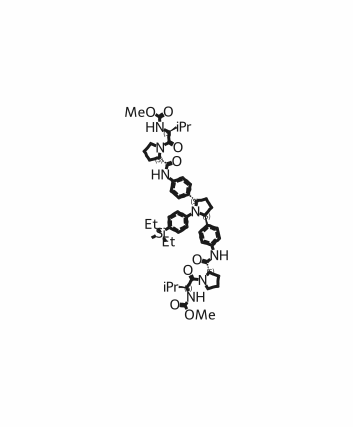 CC[Si](C)(CC)c1ccc(N2[C@H](c3ccc(NC(=O)[C@@H]4CCCN4C(=O)[C@@H](NC(=O)OC)C(C)C)cc3)CC[C@H]2c2ccc(NC(=O)[C@@H]3CCCN3C(=O)[C@@H](NC(=O)OC)C(C)C)cc2)cc1